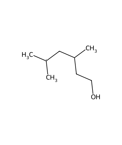 C[C](C)CC(C)CCO